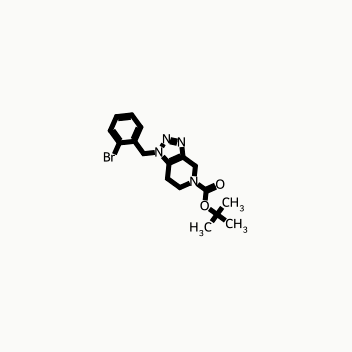 CC(C)(C)OC(=O)N1CCc2c(nnn2Cc2ccccc2Br)C1